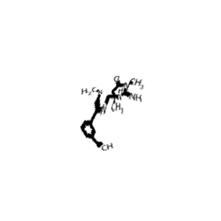 C#Cc1cccc(C(=C/N=C)/N=C/[C@]2(C)CC(=O)N(C)C(=N)N2)c1